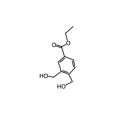 CCOC(=O)c1ccc(CO)c(CO)c1